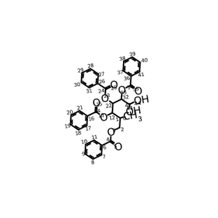 CC(COC(=O)c1ccccc1)C(OC(=O)c1ccccc1)C(OC(=O)c1ccccc1)C(OC(=O)c1ccccc1)C(O)O